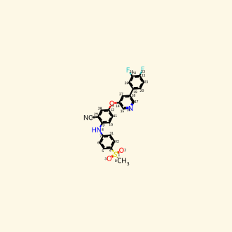 CS(=O)(=O)c1ccc(Nc2ccc(Oc3cncc(-c4ccc(F)c(F)c4)c3)cc2C#N)cc1